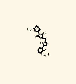 Cc1cccc(N2C(=O)/C(=C/c3ccc(-c4cccc(C(=O)O)c4F)[nH]3)SC2=S)c1